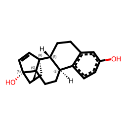 C[C@]12CC[C@@H]3c4ccc(O)cc4CC[C@H]3[C@]13C=C[C@]2(O)CC3